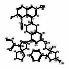 C#Cc1c(F)ccc2cc(O)cc(N3CCc4c(nc(OC[C@]5(C)C[C@@H](F)CN5c5ccncc5)nc4NCC4(N(C)C(=O)C=C)CCCC4)C3)c12